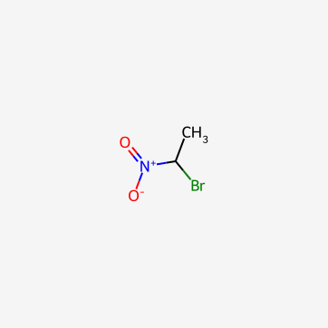 CC(Br)[N+](=O)[O-]